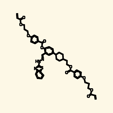 C=CC(=O)OCCCOc1ccc(C(=O)OCCC2CCC(c3ccc(OC(=O)c4ccc(OCCCOC(=O)C=C)cc4)c(/C=N/Nc4nc5ccccc5s4)c3)CC2)cc1